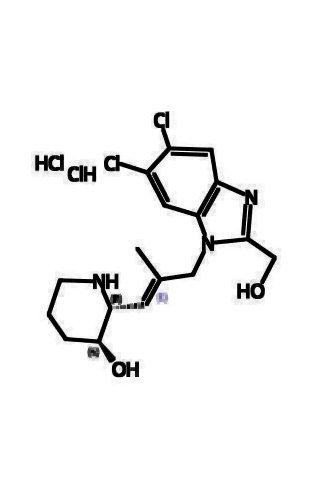 C/C(=C\[C@H]1NCCC[C@@H]1O)Cn1c(CO)nc2cc(Cl)c(Cl)cc21.Cl.Cl